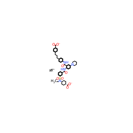 CCN([C@H]1CC[C@H](C(=O)[O-])CC1)S(=O)(=O)c1cccc(C(=O)Nc2ccc(N3CCCCC3)cc2C(=O)Nc2ccc(CCCc3ccc(C(=O)[O-])cc3)cc2)c1.[K+].[K+]